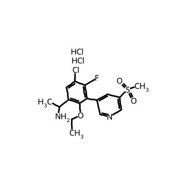 CCOc1c(C(C)N)cc(Cl)c(F)c1-c1cncc(S(C)(=O)=O)c1.Cl.Cl